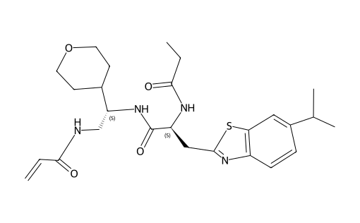 C=CC(=O)NC[C@@H](NC(=O)[C@H](Cc1nc2ccc(C(C)C)cc2s1)NC(=O)CC)C1CCOCC1